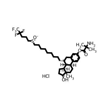 CC(C)(N)C(=O)Oc1ccc2c(c1)C[C@@H](CCCCCCCCC[S+]([O-])CCCC(F)(F)C(F)(F)F)[C@@H]1[C@@H]2CC[C@]2(C)[C@@H](O)CC[C@@H]12.Cl